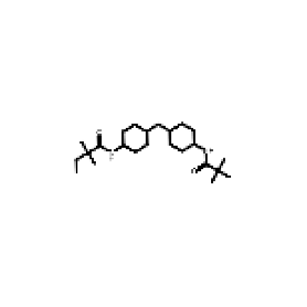 CCC(C)(C)C(=O)NC1CCC(CC2CCC(NC(=O)C(C)(C)C)CC2)CC1